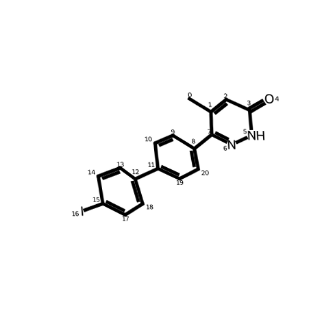 Cc1cc(=O)[nH]nc1-c1ccc(-c2ccc(I)cc2)cc1